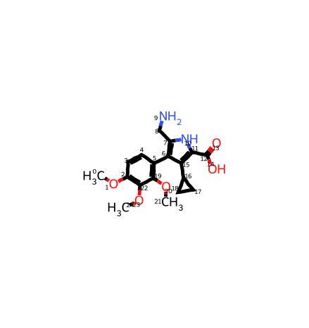 COc1ccc(-c2c(CN)[nH]c(C(=O)O)c2C2CC2)c(OC)c1OC